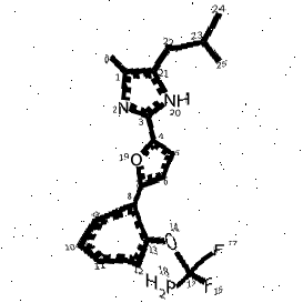 Cc1nc(-c2ccc(-c3ccccc3OC(F)(F)P)o2)[nH]c1CC(C)C